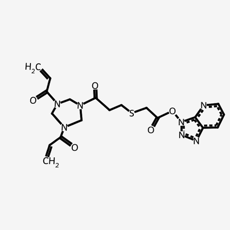 C=CC(=O)N1CN(C(=O)C=C)CN(C(=O)CCSCC(=O)On2nnc3cccnc32)C1